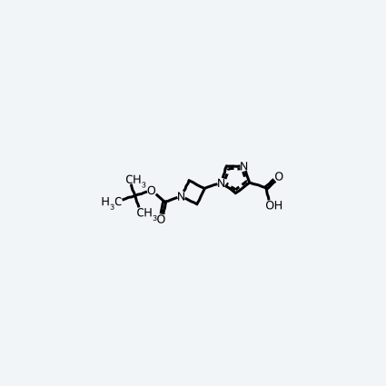 CC(C)(C)OC(=O)N1CC(n2cnc(C(=O)O)c2)C1